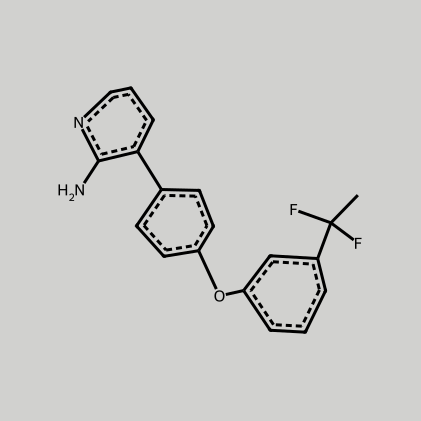 CC(F)(F)c1cccc(Oc2ccc(-c3cccnc3N)cc2)c1